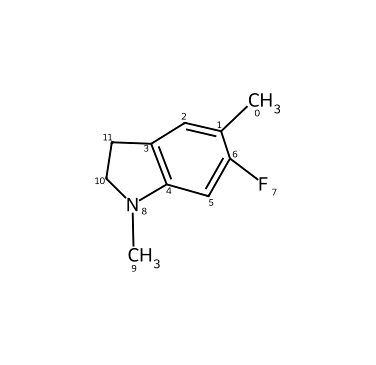 Cc1cc2c(cc1F)N(C)CC2